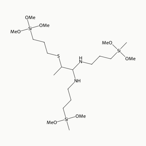 CO[Si](C)(CCCNC(NCCC[Si](C)(OC)OC)C(C)SCCC[Si](OC)(OC)OC)OC